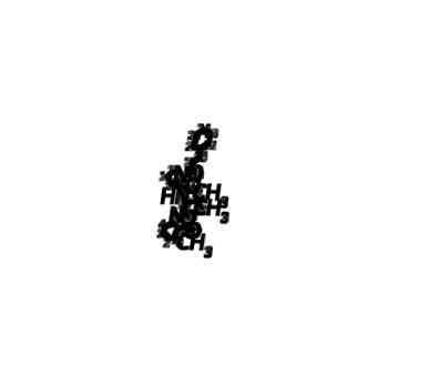 Cc1cccc2nc([C@@H](NC(=O)[C@@H]3CCCN3C(=O)C=Cc3ccccc3)C(C)C)oc(=O)c12